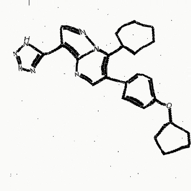 c1cc(-c2cnc3c(-c4nnn[nH]4)cnn3c2C2CCCCC2)ccc1OC1CCCC1